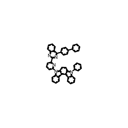 c1ccc(-c2ccc(-c3nc(-c4cccc(-n5c6ccccc6c6c7c8ccccc8n(-c8ccccc8)c7ccc65)n4)nc4ccccc34)cc2)cc1